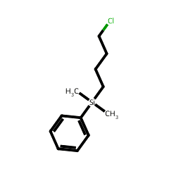 C[Si](C)(CCCCCl)c1ccccc1